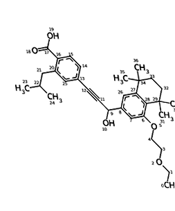 CCOCCOc1cc(C(O)C#Cc2ccc(C(=O)O)c(CC(C)C)c2)cc2c1C(C)(C)CCC2(C)C